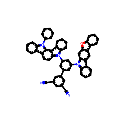 N#Cc1cc(C#N)cc(-c2cc(-n3c4ccccc4c4cc5c(cc43)oc3ccccc35)cc(-n3c4ccccc4c4c3ccc3c5ccccc5n(-c5ccccc5)c34)c2)c1